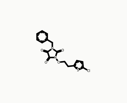 O=C1C(=O)N(OCCc2ccc(Cl)s2)C(=O)N1Cc1ccccc1